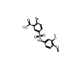 COc1ccc(NS(=O)(=O)c2ccc(Br)c(C(=O)O)c2)cc1OC